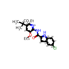 CCOC(=O)C(C)(C)c1cnc(NC(=O)c2cc3cc(Cl)ccc3[nH]2)c(OCC)c1